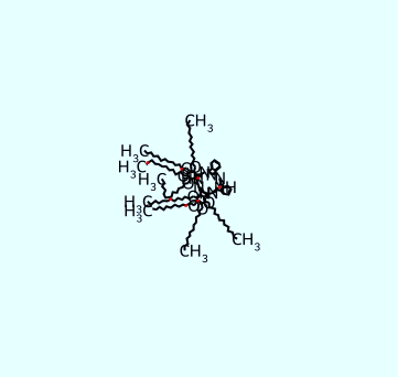 CCCCCCCCCCCCOc1c(OCCCCCCCCCCCC)c(OCCCCCCCCCCCC)c2c(c1OCCCCCCCCCCCC)-c1nc-2nc2[nH]c(nc3nc(nc4[nH]c(n1)c1ccccc41)-c1ccccc1-3)c1c(OCCCCCCCCCCCC)c(OCCCCCCCCCCCC)c(OCCCCCCCCCCCC)c(OCCCCCCCCCCCC)c21